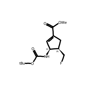 COC(=O)C1=C[C@H](NC(=O)OC(C)(C)C)[C@H](CF)C1